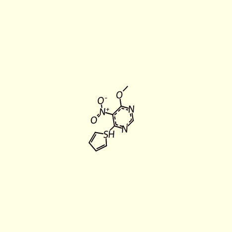 COc1ncnc([SH]2C=CC=C2)c1[N+](=O)[O-]